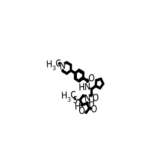 CS[C@H]1CN(C(=O)[C@@H](NC(=O)c2ccc(C3CCN(C)CC3)cc2)C2CCCC2)[C@@H]2C(=O)CO[C@H]12